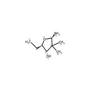 B[C@@H]1O[C@H](CC)[C@@H](O)C1(C)C